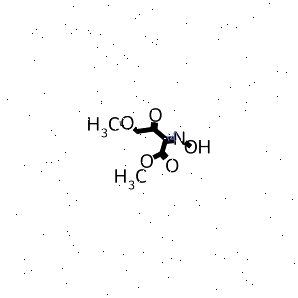 COCC(=O)/C(=N/O)C(=O)OC